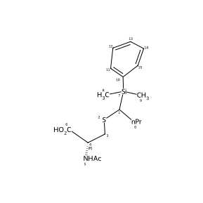 CCCC(SC[C@H](NC(C)=O)C(=O)O)[Si](C)(C)c1ccccc1